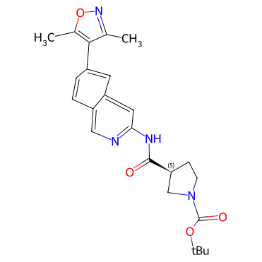 Cc1noc(C)c1-c1ccc2cnc(NC(=O)[C@H]3CCN(C(=O)OC(C)(C)C)C3)cc2c1